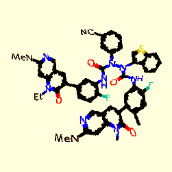 CCn1c(=O)c(-c2ccc(F)c(NC(=O)N(c3cccc(C#N)c3)N(C(=O)Nc3cc(-c4cc5cnc(NC)cc5n(C)c4=O)c(C)cc3F)c3csc4ccccc34)c2)cc2cnc(NC)cc21